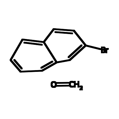 Brc1ccc2ccccc2c1.C=O